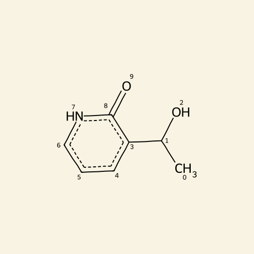 CC(O)c1ccc[nH]c1=O